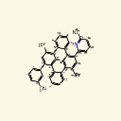 CC(C)c1cc(-c2cccc(C#N)c2)c2c3ccccc3c3c(C(C)C)cc(-c4cccc(C#N)n4)c4c5ccccc5c1c2c43